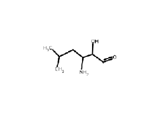 CC(C)CC(N)C(O)[C]=O